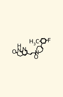 Cc1ccc(F)cc1C1=CCCN(C(=O)/C=C/c2cnc3c(c2)CCC(=O)N3)CC1